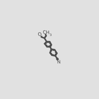 CCC(C=O)c1ccc(-c2ccc(C#N)cc2)cc1